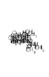 C=CCNC(=O)C(=O)[C@H](CCCC)NC(=O)[C@@H]1[C@@H]2[C@H](CN1C(=O)[C@@H](NC(=O)NC1(CS(=O)(=O)C3(CC)CCCCC3)CCCCC1)C(C)(C)C)C2(C)C